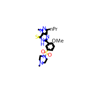 CCCc1nn(C)c2c(=S)[nH]c(-c3cc(S(=O)(=O)N4CCN(C)CC4)ccc3OC)nc12